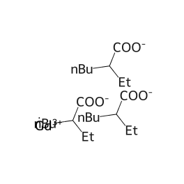 CCCCC(CC)C(=O)[O-].CCCCC(CC)C(=O)[O-].CCCCC(CC)C(=O)[O-].[Gd+3]